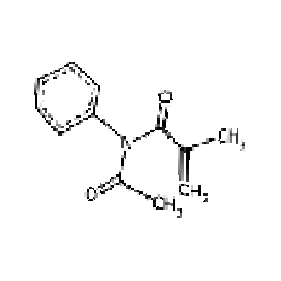 C=C(C)C(=O)N(C(C)=O)c1ccccc1